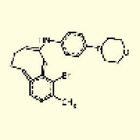 Cc1ccc2/c(c1Br)=N\C(Nc1ccc(N3CCOCC3)cc1)=C/CC/C=2